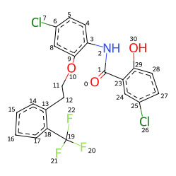 O=C(Nc1ccc(Cl)cc1OCCc1ccccc1C(F)(F)F)c1cc(Cl)ccc1O